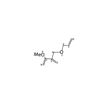 C=CCOCC(=C)C(=C)OC